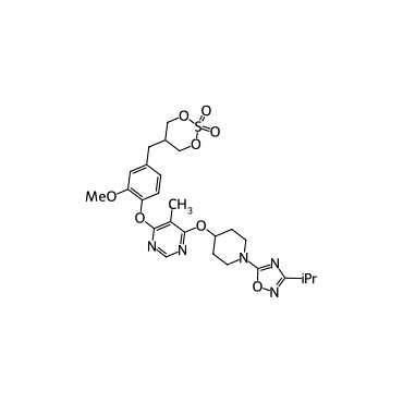 COc1cc(CC2COS(=O)(=O)OC2)ccc1Oc1ncnc(OC2CCN(c3nc(C(C)C)no3)CC2)c1C